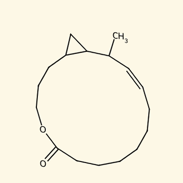 CC1/C=C\CCCCCCC(=O)OCCCC2CC12